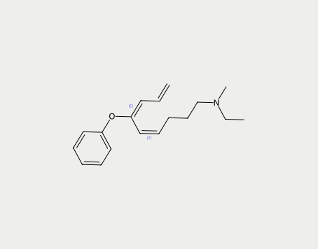 C=C/C=C(\C=C/CCCN(C)CC)Oc1ccccc1